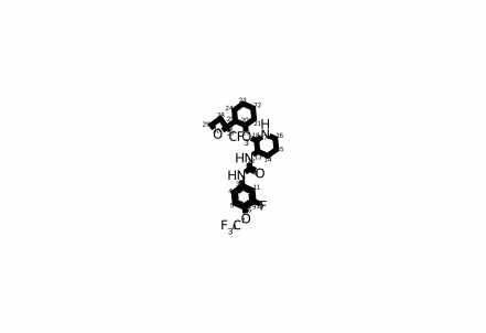 O=C(Nc1ccc(OC(F)(F)F)c(F)c1)NC1CCCNC1OC1CCCCC1[C@@]1(C(F)(F)F)CCO1